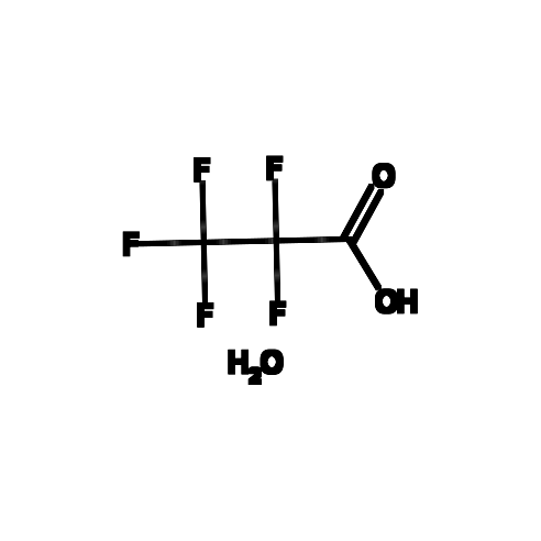 O.O=C(O)C(F)(F)C(F)(F)F